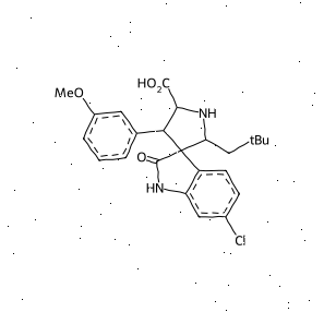 COc1cccc(C2C(C(=O)O)NC(CC(C)(C)C)C23C(=O)Nc2cc(Cl)ccc23)c1